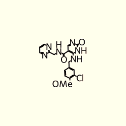 COc1ccc(CNc2[nH]c(=O)ncc2C(=O)NCc2ncccn2)cc1Cl